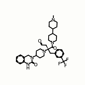 CN1CCC(C2CCN(C(=O)[C@](CC=O)(Cc3cccc(C(F)(F)F)c3)N3CCC(N4Cc5ccccc5NC4=O)CC3)CC2)CC1